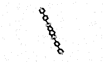 c1cc(-c2ccc(-c3nc4cc5cc6sc(-c7ccc(-c8ccncc8)cc7)nc6cc5cc4s3)cc2)ccn1